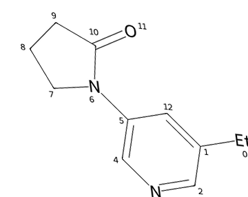 CCc1cncc(N2CCCC2=O)c1